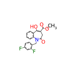 COC(=O)C1=C(O)c2ccccc2N(Cc2ccc(F)cc2F)C(=O)C1